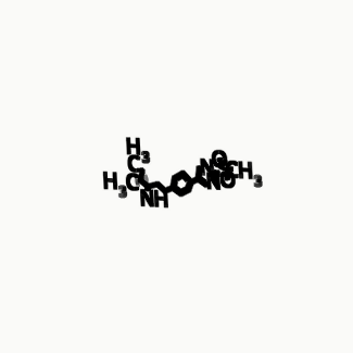 CC[C@@H](C)C(=N)CCc1ccc(-c2cnc(S(C)(=O)=O)nc2)cc1